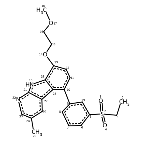 CCS(=O)(=O)c1cccc(-c2ccc(OCCOC)c3[nH]c4ncc(C)cc4c23)c1